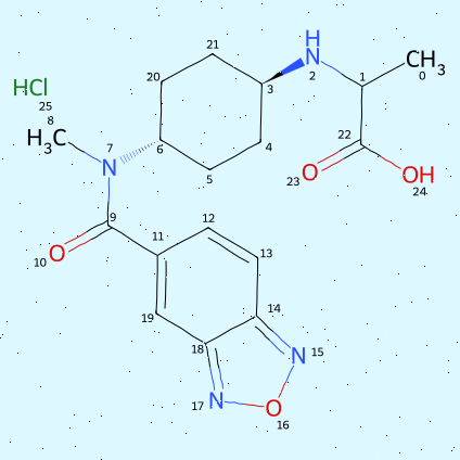 CC(N[C@H]1CC[C@H](N(C)C(=O)c2ccc3nonc3c2)CC1)C(=O)O.Cl